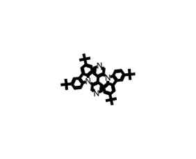 CC(C)(C)c1ccc2c(c1)c1cc(C(C)(C)C)ccc1n2-c1cnccc1-c1ccncc1-n1c2ccc(C(C)(C)C)cc2c2cc(C(C)(C)C)ccc21